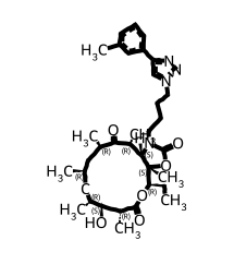 CC[C@H]1OC(=O)[C@H](C)[C@@H](O)[C@H](C)C[C@@H](C)C[C@@H](C)C(=O)[C@H](C)[C@@H]2N(CCCCn3cc(-c4cccc(C)c4)nn3)C(=O)O[C@@]21C